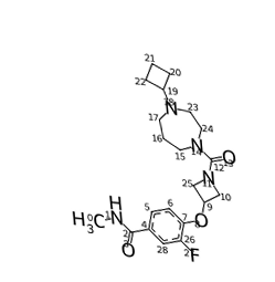 CNC(=O)c1ccc(OC2CN(C(=O)N3CCCN(C4CCC4)CC3)C2)c(F)c1